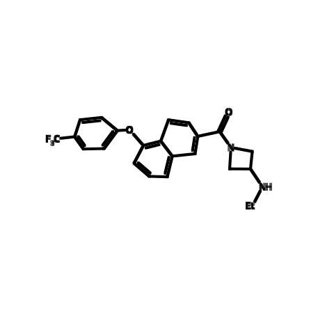 CCNC1CN(C(=O)c2ccc3c(Oc4ccc(C(F)(F)F)cc4)cccc3c2)C1